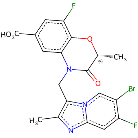 Cc1nc2cc(F)c(Br)cn2c1CN1C(=O)[C@@H](C)Oc2c(F)cc(C(=O)O)cc21